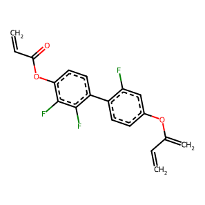 C=CC(=C)Oc1ccc(-c2ccc(OC(=O)C=C)c(F)c2F)c(F)c1